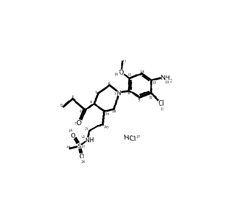 CCC(=O)C1CCN(c2cc(Cl)c(N)cc2OC)CC1CCNS(C)(=O)=O.Cl